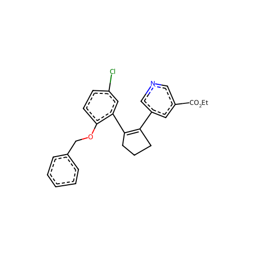 CCOC(=O)c1cncc(C2=C(c3cc(Cl)ccc3OCc3ccccc3)CCC2)c1